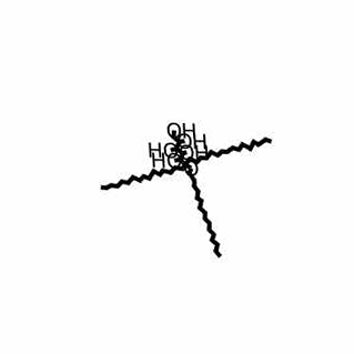 CCCCCCCCCCCCCCCCOC(CCCCCCCCCCCCCCCC)(CCCCCCCCCCCCCCCC)C(O)C(O)C(O)C(O)CO